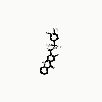 Cc1ccc(C(C)(C)NC(=O)c2cc3[nH]c4ccccc4c(=O)c3cc2F)c[n+]1[O-]